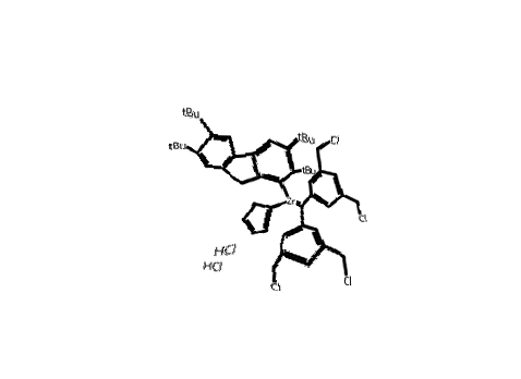 CC(C)(C)c1cc2c(cc1C(C)(C)C)-c1cc(C(C)(C)C)c(C(C)(C)C)[c]([Zr]([C]3=CC=CC3)=[C](c3cc(CCl)cc(CCl)c3)c3cc(CCl)cc(CCl)c3)c1C2.Cl.Cl